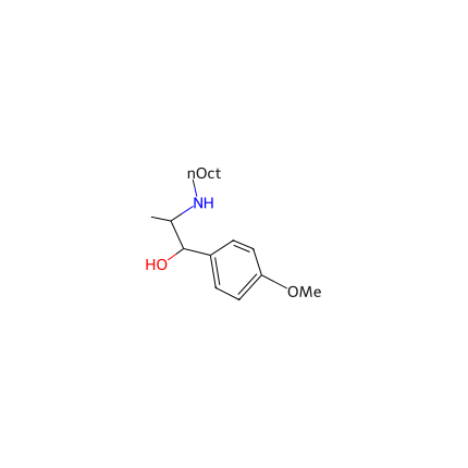 CCCCCCCCNC(C)C(O)c1ccc(OC)cc1